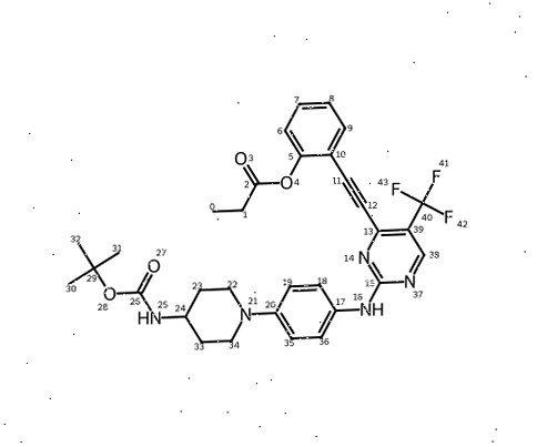 CCC(=O)Oc1ccccc1C#Cc1nc(Nc2ccc(N3CCC(NC(=O)OC(C)(C)C)CC3)cc2)ncc1C(F)(F)F